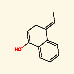 CC=C1CC=C(O)c2ccccc21